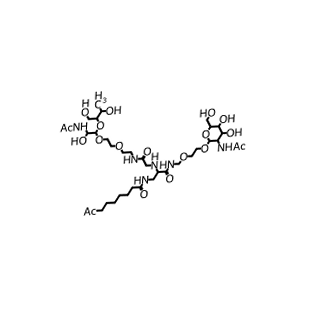 CC(=O)CCCCCCC(=O)NCC(NCC(=O)NCCOCCOC(OC(CO)C(C)O)C(O)NC(C)=O)C(=O)NCOCCOC1OC(CO)C(O)C(O)C1NC(C)=O